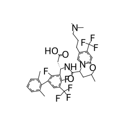 Cc1cccc(C)c1-c1cc(C(F)(F)F)c(F)c([C@H](CC(=O)O)NC(=O)C(CC(C)C)n2cc(CCCN(C)C)c(C(F)(F)F)cc2=O)c1F